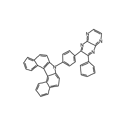 c1ccc(-c2nc3nccnc3nc2-c2ccc(-n3c4ccc5ccccc5c4c4c5ccccc5ccc43)cc2)cc1